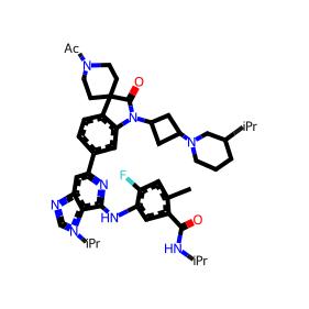 CC(=O)N1CCC2(CC1)C(=O)N(C1CC(N3CCCC(C(C)C)C3)C1)c1cc(-c3cc4ncn(C(C)C)c4c(Nc4cc(C(=O)NC(C)C)c(C)cc4F)n3)ccc12